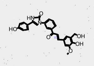 COc1cc(/C=C/C(=O)c2cccc(-n3cc(-c4ccc(O)cc4)[nH]c3=O)c2)cc(CO)c1O